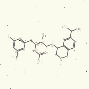 CC(C)c1ccc2c(c1)C(NC[C@@H](O)[C@H](Cc1cc(F)cc(F)c1)NC(=O)O)COC2